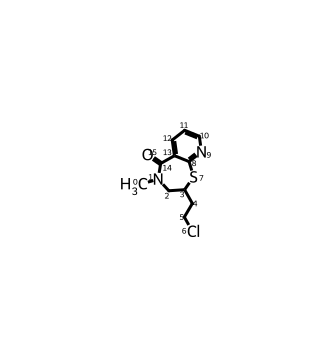 CN1CC(CCCl)Sc2ncccc2C1=O